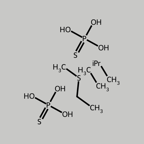 CC.CC(C)C.CCSC.OP(O)(O)=S.OP(O)(O)=S